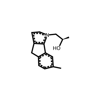 Cc1ccc2c(c1)-c1c(ccn1C[C@@H](C)O)C2